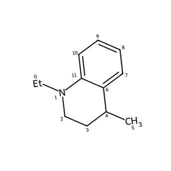 CCN1CCC(C)c2ccccc21